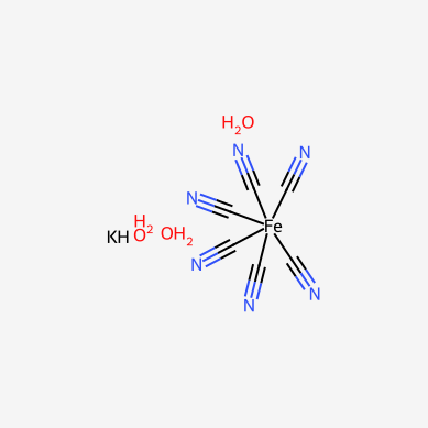 N#[C][Fe]([C]#N)([C]#N)([C]#N)([C]#N)[C]#N.O.O.O.[KH]